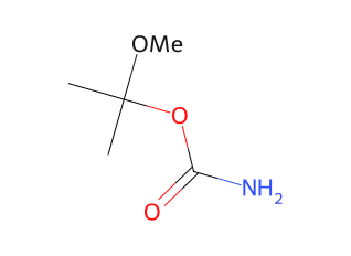 COC(C)(C)OC(N)=O